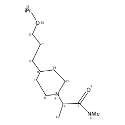 CNC(=O)C(C)N1CCC(CCCOC(C)C)CC1